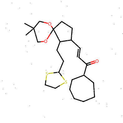 CC1(C)COC2(CCC(C=CC(=O)C3CCCCCC3)C2CCC2SCCS2)OC1